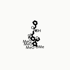 CCCOc1c(C/C=C/N(O)C(=O)Cc2ccccc2)cc(C2(c3cc(OC)c(OC)c(OC)c3)CCCO2)cc1OC